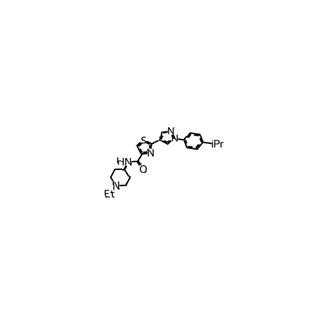 CCN1CCC(NC(=O)c2csc(-c3cnn(-c4ccc(C(C)C)cc4)c3)n2)CC1